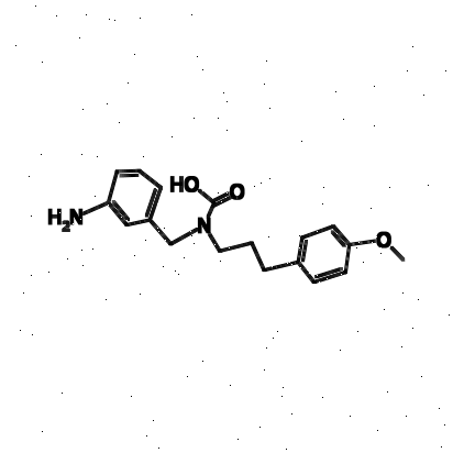 COc1ccc(CCCN(Cc2cccc(N)c2)C(=O)O)cc1